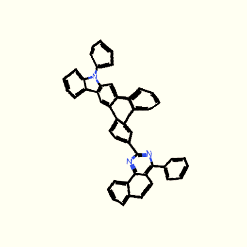 c1ccc(-c2nc(-c3ccc4c(c3)c3ccccc3c3cc5c(cc43)c3ccccc3n5-c3ccccc3)nc3c2ccc2ccccc23)cc1